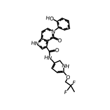 CC(F)(F)COC1=CC=C(NC(=O)c2c[nH]c3ccn(-c4ccccc4O)c(=O)c23)CN1